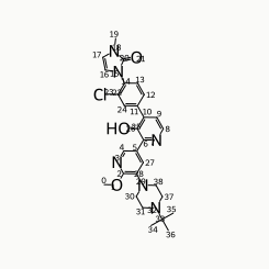 COc1ncc(-c2nccc(-c3ccc(-n4ccn(C)c4=O)c(Cl)c3)c2O)cc1N1CCN(C(C)(C)C)CC1